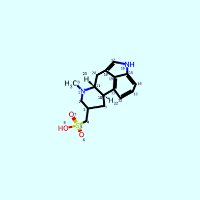 CN1CC(CS(=O)(=O)O)C[C@@H]2c3cccc4[nH]cc(c34)C[C@H]21